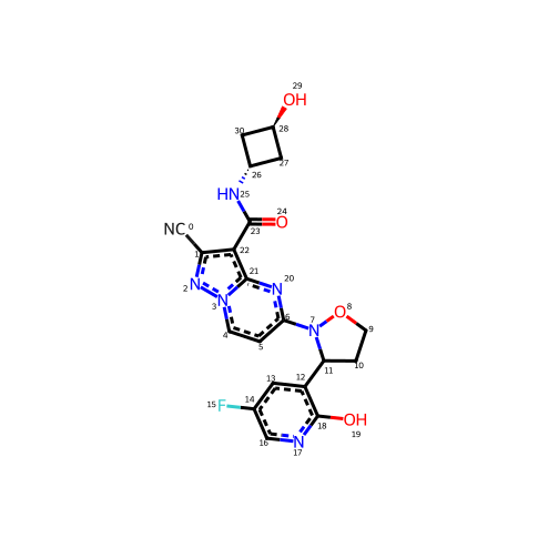 N#Cc1nn2ccc(N3OCCC3c3cc(F)cnc3O)nc2c1C(=O)N[C@H]1C[C@H](O)C1